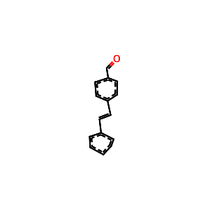 O=Cc1ccc(C=Cc2ccccc2)cc1